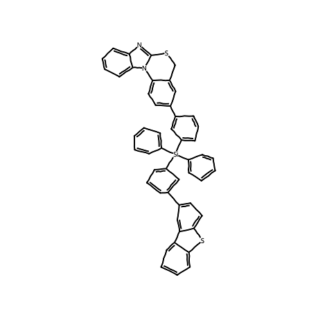 c1ccc([Si](c2ccccc2)(c2cccc(-c3ccc4c(c3)CSc3nc5ccccc5n3-4)c2)c2cccc(-c3ccc4sc5ccccc5c4c3)c2)cc1